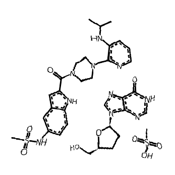 CC(C)Nc1cccnc1N1CCN(C(=O)c2cc3cc(NS(C)(=O)=O)ccc3[nH]2)CC1.CS(=O)(=O)O.O=c1[nH]cnc2c1ncn2[C@H]1CC[C@@H](CO)O1